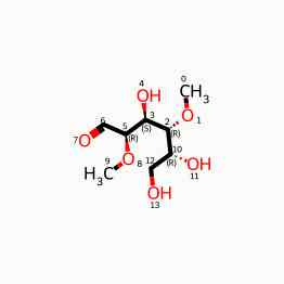 CO[C@@H]([C@H](O)[C@H](C=O)OC)[C@H](O)CO